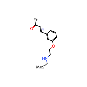 CCC(=O)/C=C/c1cccc(OCCNCSC)c1